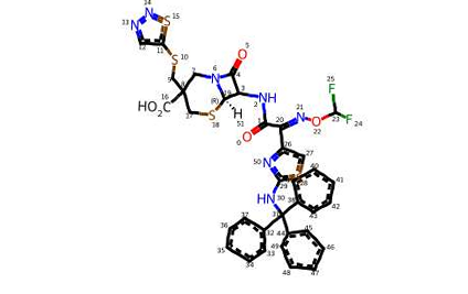 O=C(NC1C(=O)N2CC(CSc3cnns3)(C(=O)O)CS[C@H]12)C(=NOC(F)F)c1csc(NC(c2ccccc2)(c2ccccc2)c2ccccc2)n1